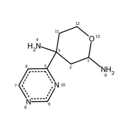 NC1CC(N)(c2ccncn2)CCO1